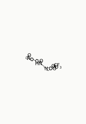 O=C(NCCCCN1CCc2ccc(OS(=O)(=O)C(F)(F)F)cc2C1)c1ccc(-c2ccc(N3CCCC3=O)cc2)cc1